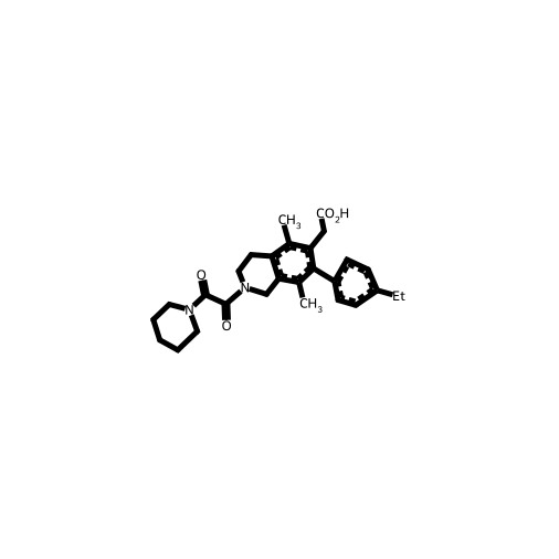 CCc1ccc(-c2c(C)c3c(c(C)c2CC(=O)O)CCN(C(=O)C(=O)N2CCCCC2)C3)cc1